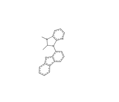 CC1N(C)c2cccnc2N1c1cccc2c1oc1ccccc12